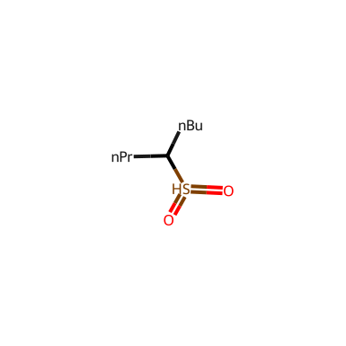 CCCCC(CCC)[SH](=O)=O